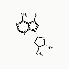 CC[C@H]1O[C@@H](n2cc(Br)c3c(N)ncnc32)C[C@@H]1C